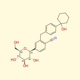 N#Cc1ccc([C@@H]2O[C@H](CO)[C@@H](O)[C@H](O)[C@H]2O)cc1Cc1ccc(C2(O)CCCCC2)cc1